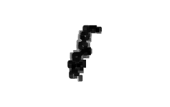 COc1ccc(-c2ccn3c(-c4cccc(NC(=O)NCC(F)(F)F)c4)cnc3c2)cc1